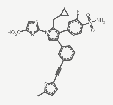 Cc1ccc(C#Cc2cccc(-c3cn(-c4nc(C(=O)O)cs4)c(CC4CC4)c3-c3ccc(S(N)(=O)=O)c(F)c3)c2)s1